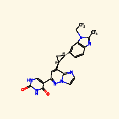 O=c1[nH]cc(-c2cc([C@H]3C[C@@H]3c3ccc4nc(C(F)(F)F)n(CC(F)(F)F)c4c3)c3nccn3n2)c(=O)[nH]1